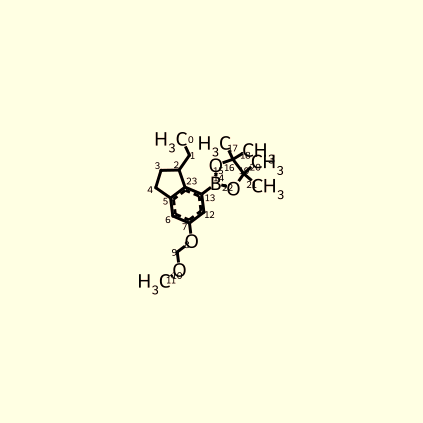 CCC1CCc2cc(OCOC)cc(B3OC(C)(C)C(C)(C)O3)c21